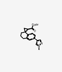 COC(=O)C1CC12CCCc1cc(-c3cnn(C)c3)ccc12